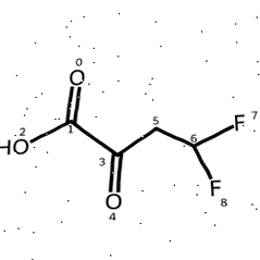 O=C(O)C(=O)CC(F)F